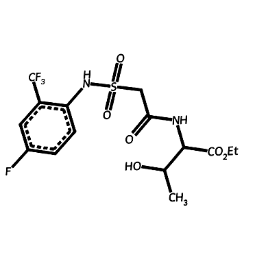 CCOC(=O)C(NC(=O)CS(=O)(=O)Nc1ccc(F)cc1C(F)(F)F)C(C)O